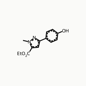 CCOC(=O)c1cc(-c2ccc(O)cc2)nn1C